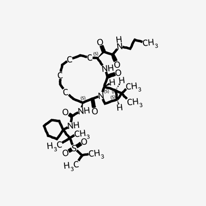 CCCNC(=O)C(=O)[C@@H]1CCCCCCCC[C@H](NC(=O)NC2(C(C)(C)S(=O)(=O)C(C)C)CCCCC2)C(=O)N2C[C@H]3[C@@H]([C@H]2C(=O)N1)C3(C)C